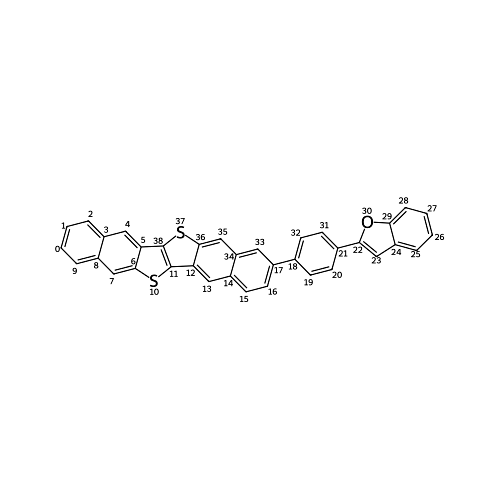 c1ccc2cc3c(cc2c1)sc1c2cc4ccc(-c5ccc(-c6cc7ccccc7o6)cc5)cc4cc2sc31